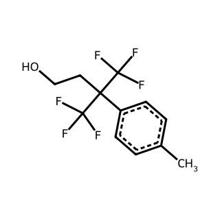 Cc1ccc(C(CCO)(C(F)(F)F)C(F)(F)F)cc1